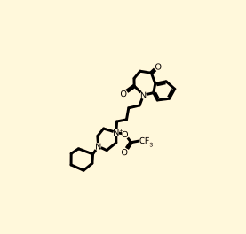 O=C1CCC(=O)N(CCCC[N+]2(OC(=O)C(F)(F)F)CCN(C3CCCCC3)CC2)c2ccccc21